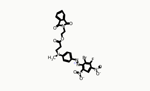 CN(CCC(=O)OCCN1C(=O)c2ccccc2C1=O)c1ccc(/N=N/c2c([N+](=O)[O-])cc([N+](=O)[O-])c(F)c2Br)cc1